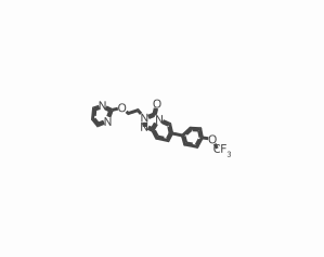 O=c1n(CCOc2ncccn2)nc2ccc(-c3ccc(OC(F)(F)F)cc3)cn12